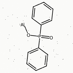 O=P([O][Al])(c1ccccc1)c1ccccc1